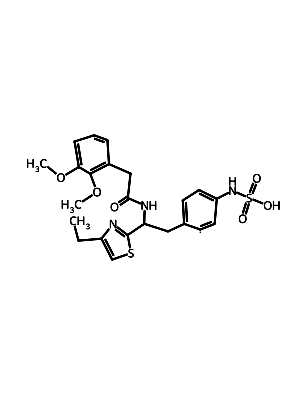 CCc1csc(C(Cc2[c]cc(NS(=O)(=O)O)cc2)NC(=O)Cc2cccc(OC)c2OC)n1